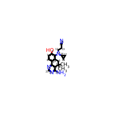 CC1(C)Cc2c(ccc(O)c2N(CCC#N)C2CC2)-c2ncnc(N)c21